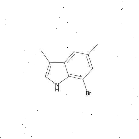 Cc1cc(Br)c2[nH]cc(C)c2c1